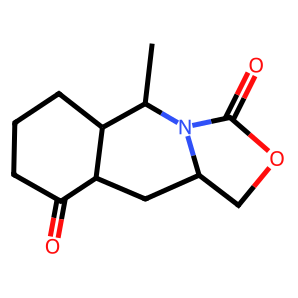 CC1C2CCCC(=O)C2CC2COC(=O)N21